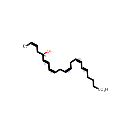 CC/C=C\C[C@@H](O)/C=C/C=C\C/C=C\C/C=C\C=C\CCCC(=O)O